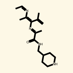 C=C(C)C(/N=C(\C)C(=O)BCC1CCNCC1)=C(C)\N=C/C